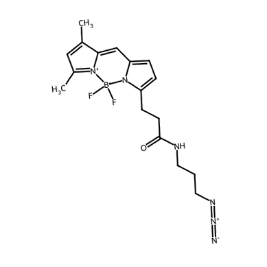 CC1=CC(C)=[N+]2C1=Cc1ccc(CCC(=O)NCCCN=[N+]=[N-])n1[B-]2(F)F